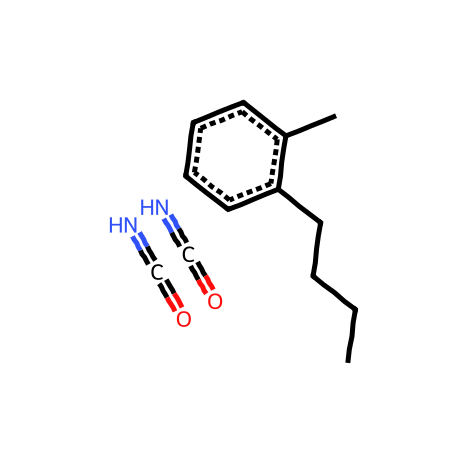 CCCCc1ccccc1C.N=C=O.N=C=O